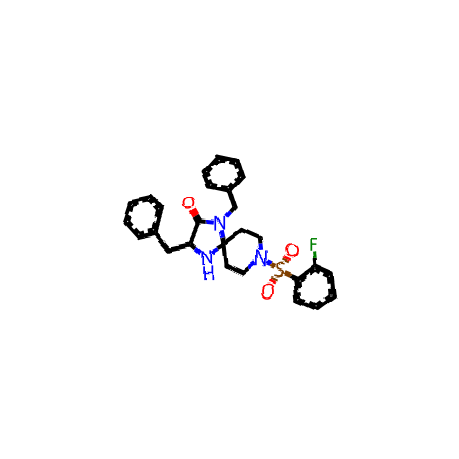 O=C1C(Cc2ccccc2)NC2(CCN(S(=O)(=O)c3ccccc3F)CC2)N1Cc1ccccc1